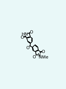 CNN1C(=O)c2ccc(C(=O)c3ccc4c(c3)C(=O)NC4=O)cc2C1=O